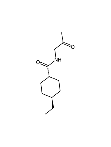 CC[C@H]1CC[C@H](C(=O)NCC(C)=O)CC1